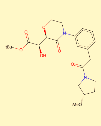 CO[C@H]1CCN(C(=O)Cc2cccc(N3CCO[C@H]([C@@H](O)C(=O)OC(C)(C)C)C3=O)c2)C1